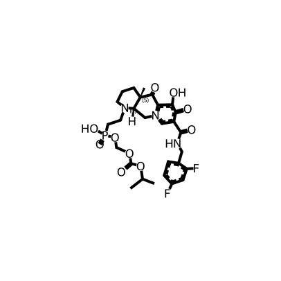 CC(C)OC(=O)OCOP(=O)(O)CCN1CCC[C@]2(C)C(=O)c3c(O)c(=O)c(C(=O)NCc4ccc(F)cc4F)cn3C[C@H]12